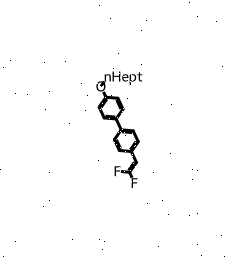 CCCCCCCOc1ccc(-c2ccc(C=C(F)F)cc2)cc1